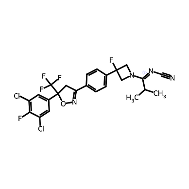 CC(C)/C(=N\C#N)N1CC(F)(c2ccc(C3=NOC(c4cc(Cl)c(F)c(Cl)c4)(C(F)(F)F)C3)cc2)C1